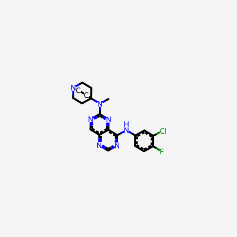 CN(c1ncc2ncnc(Nc3ccc(F)c(Cl)c3)c2n1)C12CCN(CC1)CC2